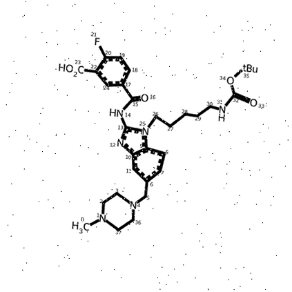 CN1CCN(Cc2ccc3c(c2)nc(NC(=O)c2ccc(F)c(C(=O)O)c2)n3CCCCCNC(=O)OC(C)(C)C)CC1